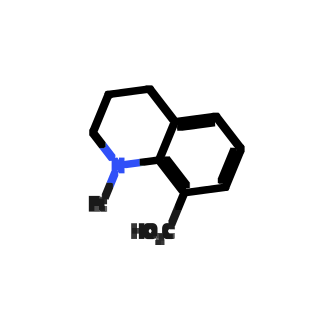 CCN1CCCc2cccc(C(=O)O)c21